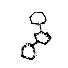 c1cnc(-c2cccc(N3CCCCC3)c2)nc1